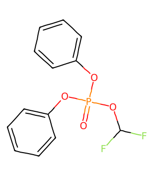 O=P(Oc1ccccc1)(Oc1ccccc1)OC(F)F